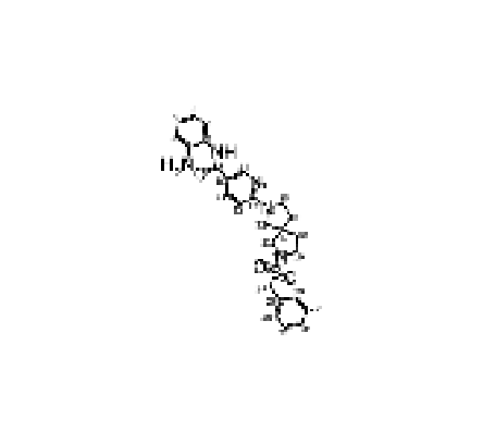 Nc1ccccc1NC(=O)c1ccc(N2CCC3(CCN(S(=O)(=O)Cc4ccccc4)C3)C2)nc1